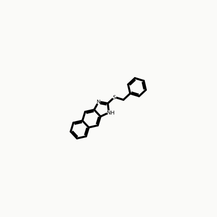 c1ccc(CSc2nc3cc4ccccc4cc3[nH]2)cc1